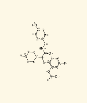 CC(=O)Oc1cc(F)ccc1CN(C(=O)NCc1ccc(O)cc1)C1CCN(C)CC1